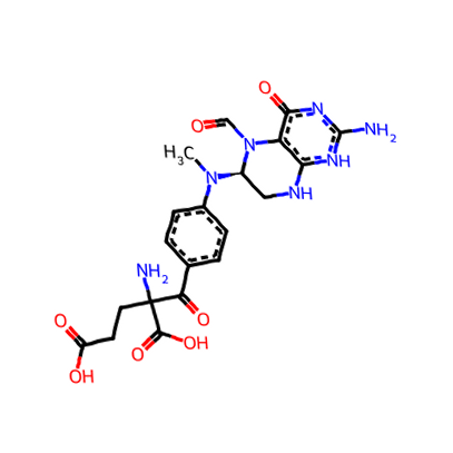 CN(c1ccc(C(=O)C(N)(CCC(=O)O)C(=O)O)cc1)[C@@H]1CNc2[nH]c(N)nc(=O)c2N1C=O